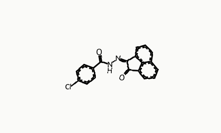 O=C(N/N=C1\C(=O)c2cccc3cccc1c23)c1ccc(Cl)cc1